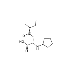 CCC(C)[S+]([O-])C[C@H](NC1CCCC1)C(=O)O